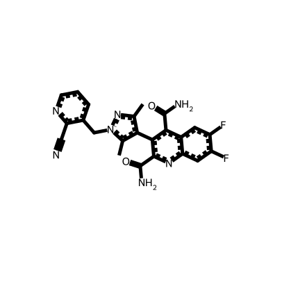 Cc1nn(Cc2cccnc2C#N)c(C)c1-c1c(C(N)=O)nc2cc(F)c(F)cc2c1C(N)=O